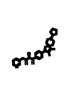 CC1=C(C)C2(CCN(C3CCCC3)CC2)CN1c1ccc(NC(=O)NCc2cccnc2)cc1